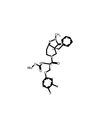 CN1N=C2CCN(C(=O)[C@@H](COc3ccc(F)c(F)c3)NC(=O)OC(C)(C)C)C[C@@]2(Cc2ccccc2)C1=O